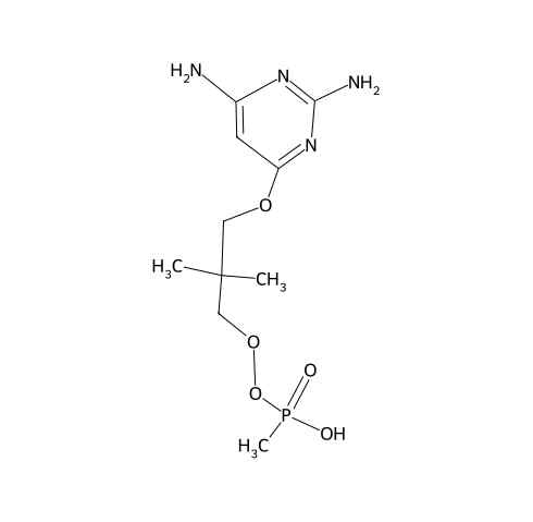 CC(C)(COOP(C)(=O)O)COc1cc(N)nc(N)n1